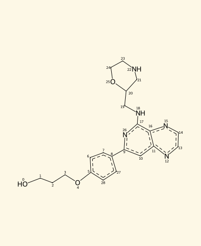 OCCCOc1ccc(-c2cc3nccnc3c(NCC3CNCCO3)n2)cc1